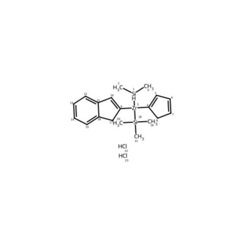 C[SiH](C)[Zr]([C]1=CC=CC1)([C]1=Cc2ccccc2C1)[Si](C)(C)C.Cl.Cl